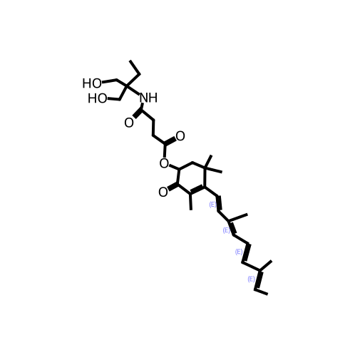 C/C=C(C)/C=C/C=C(C)/C=C/C1=C(C)C(=O)C(OC(=O)CCC(=O)NC(CC)(CO)CO)CC1(C)C